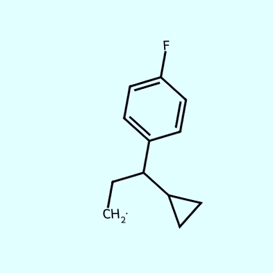 [CH2]CC(c1ccc(F)cc1)C1CC1